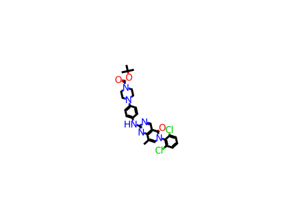 Cc1cn(-c2c(Cl)cccc2Cl)c(=O)c2cnc(Nc3ccc(N4CCN(C(=O)OC(C)(C)C)CC4)cc3)nc12